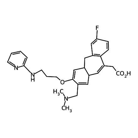 CN(C)CC1=CC2C=C(CC(=O)O)c3ccc(F)cc3CC2C=C1OCCCNc1ccccn1